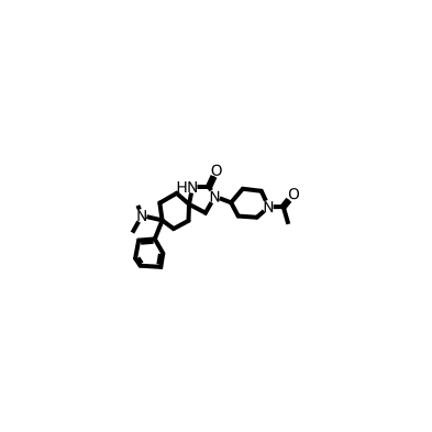 CC(=O)N1CCC(N2CC3(CCC(c4ccccc4)(N(C)C)CC3)NC2=O)CC1